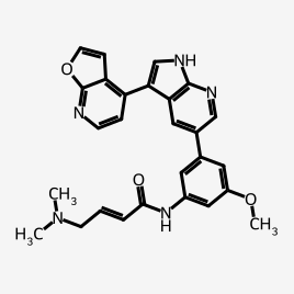 COc1cc(NC(=O)C=CCN(C)C)cc(-c2cnc3[nH]cc(-c4ccnc5occc45)c3c2)c1